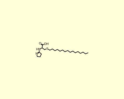 CCCCCCCCCCCCCCCCSCC(NC1=NCCC1)C(=O)O